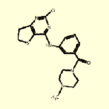 CN1CCN(C(=O)c2cccc(Nc3nc(Cl)nc4c3SCC4)c2)CC1